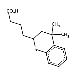 CC1(C)CC(CCCC(=O)O)Sc2ccccc21